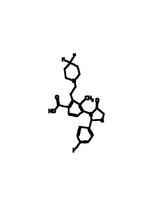 Cc1c(N2C(=O)CSC2c2ccc(F)cc2)ccc(C(=O)O)c1CCN1CCC(F)(F)CC1